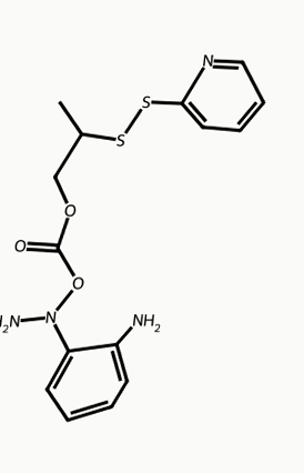 CC(COC(=O)ON(N)c1ccccc1N)SSc1ccccn1